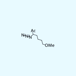 COCCCCC(N=[N+]=[N-])C(C)=O